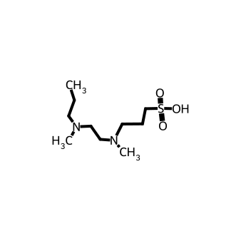 CCCN(C)CCN(C)CCCS(=O)(=O)O